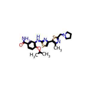 Cc1nc(CN2CCCC2)sc1-c1csc(Nc2cc(C(N)=O)ccc2OC(C)C)n1